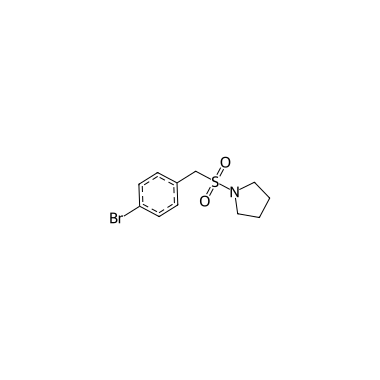 O=S(=O)(Cc1ccc(Br)cc1)N1CCCC1